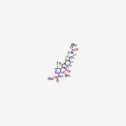 CCc1c(-c2ccnc(NC(=O)OC(C)(C)C)c2)n(C(=O)OC(C)(C)C)c2ccc(C3=CCN(C(=O)OC(C)(C)C)CC3)cc12